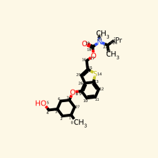 CC1CC(CO)CC(Oc2cccc3sc(COC(=O)N(C)C(C)C(C)C)cc23)C1